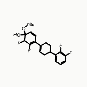 CCCCOC1(O)C=CC(C2=CCC(c3cccc(F)c3F)CC2)=C(F)C1F